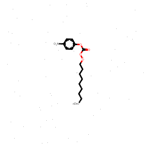 CCCCCCCCCCCCCCCCCCOOC(=O)Oc1ccc([N+](=O)[O-])cc1